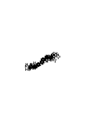 CC(C)(C)OC(=O)N[C@H](c1ncc(-c2ccc3cc(-c4ccc(-c5cnc([C@@H](NC(=O)O)C(C)(C)C)[nH]5)cc4)ccc3c2)[nH]1)C(C)(C)C